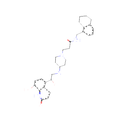 O=C(CCN1CCC(NCC(O)c2ccc(O)c3[nH]c(=O)ccc23)CC1)NCc1cccc2c1CCCC2